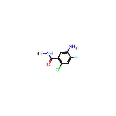 CC(C)NC(=O)c1cc(N)c(F)cc1Cl